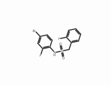 O=S(=O)(Cc1ccccc1F)Nc1ccc(Br)cc1F